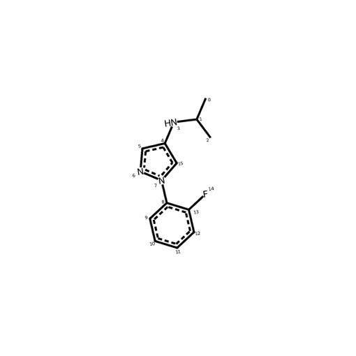 CC(C)Nc1cnn(-c2ccccc2F)c1